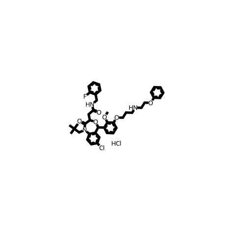 COc1c(OCCCNCCOc2ccccc2)cccc1C1OC(CC(=O)NCc2ccccc2F)C(=O)N(CC(C)(C)C)c2ccc(Cl)cc21.Cl